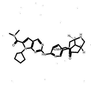 CC(=O)NCC(=O)C1[C@@H]2CN[C@@H]1CN(c1ccc(Nc3ncc4cc(C(=O)N(C)C)n(C5CCCC5)c4n3)nc1)C(=O)C2